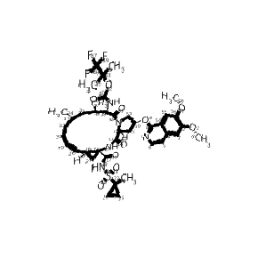 COc1cc2ccnc(O[C@@H]3C[C@H]4C(=O)N[C@]5(C(=O)NS(=O)(=O)C6(C)CC6)C[C@H]5/C=C\CC[C@H](C)C[C@@H](C)[C@H](NC(=O)OC(C)(C)C(F)(F)F)C(=O)N4C3)c2cc1OC